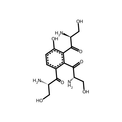 N[C@@H](CO)C(=O)c1ccc(O)c(C(=O)[C@@H](N)CO)c1C(=O)[C@@H](N)CO